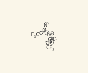 O=C(CC1CCCCN1S(=O)(=O)c1cccc(C(F)(F)F)c1)N1CCC(OCCN2CCCC2)(c2ccc(C(F)(F)F)cc2)CC1